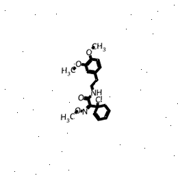 CO/N=C(\C(=O)NCCc1ccc(OC)c(OC)c1)C1(Cl)C=CC=CC1